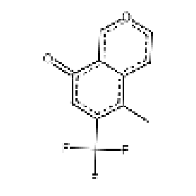 Cc1c2ccocc-2c(=O)cc1C(F)(F)F